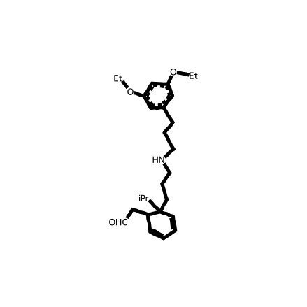 CCOc1cc(CCCNCCCC2(C(C)C)C=CC=CC2CC=O)cc(OCC)c1